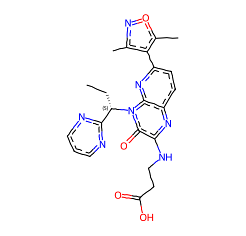 CC[C@@H](c1ncccn1)n1c(=O)c(NCCC(=O)O)nc2ccc(-c3c(C)noc3C)nc21